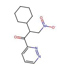 O=C(c1cccnn1)C(C[N+](=O)[O-])C1CCCCC1